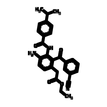 CCOC(=O)Cc1ccc(N)c(NC(=O)c2ccc(C(C)C)cc2)c1C(=O)c1cccc(C#N)c1